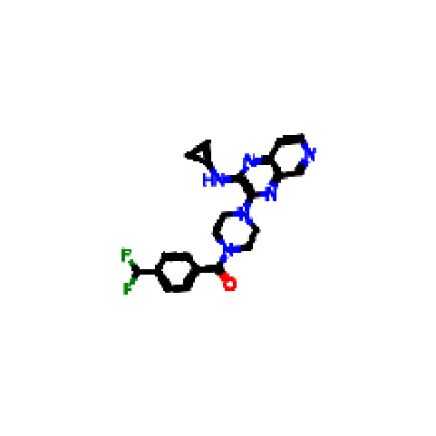 O=C(c1ccc(C(F)F)cc1)N1CCN(c2nc3cnccc3nc2NC2CC2)CC1